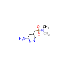 CN(C)S(=O)(=O)Cc1cnnc(N)c1